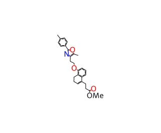 COC(=O)CCC1=CCCc2c(OCCc3nc(-c4ccc(C)cc4)oc3C)cccc21